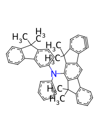 CC1(C)c2ccccc2-c2cc(N(c3ccccc3)c3c4c(cc5c3C(C)(C)c3ccccc3-5)-c3c#cccc3C4(C)C)ccc21